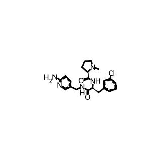 CN1CCC[C@@H]1C(=O)N[C@@H](Cc1cccc(Cl)c1)C(=O)NCc1ccc(N)nc1